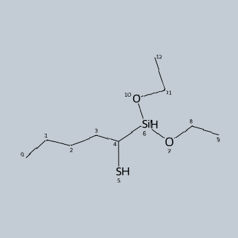 CCCCC(S)[SiH](OCC)OCC